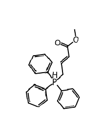 COC(=O)/C=C/C[PH](c1ccccc1)(c1ccccc1)c1ccccc1